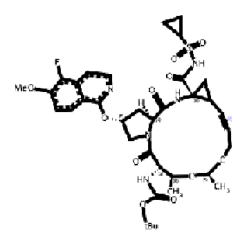 COc1ccc2c(O[C@@H]3C[C@H]4C(=O)N[C@]5(C(=O)NS(=O)(=O)C6CC6)CC5/C=C\CC[C@@H](C)C[C@@H](C)[C@H](NC(=O)OC(C)(C)C)C(=O)N4C3)nccc2c1F